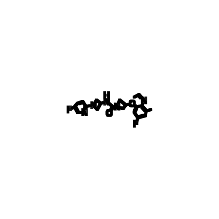 C/C=N\c1c(C)cc(F)cc1OC1CN(C(=O)NC2CN(c3ccc(F)cn3)C2)C1